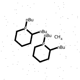 C.CCCCC1CCCCP1CCCC.CCCCC1CCCCP1CCCC